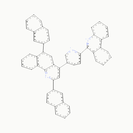 c1ccc2cc(-c3cc(-c4ccc(-c5nc6ccccc6c6ccccc56)nc4)c4cc(-c5ccc6ccccc6c5)c5ccccc5c4n3)ccc2c1